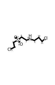 O=S(=O)(CCCl)CCNCCCCl